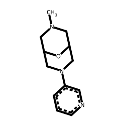 CN1CC2CN(c3cccnc3)CC(C1)O2